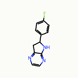 Fc1ccc(C2Cc3nccnc3N2)cc1